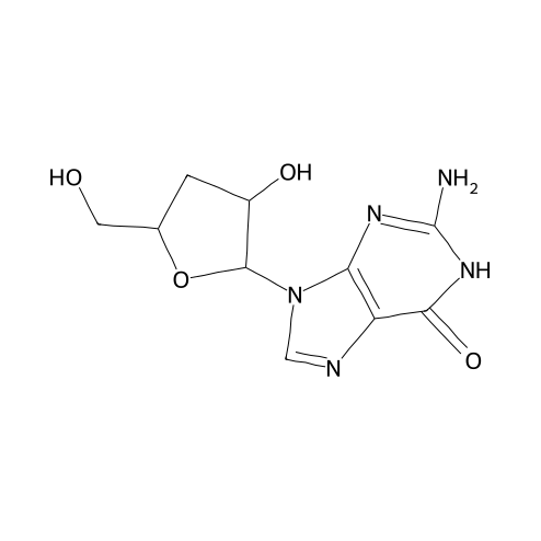 Nc1nc2c(ncn2C2OC(CO)CC2O)c(=O)[nH]1